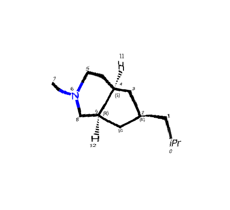 CC(C)C[C@@H]1C[C@@H]2CN(C)C[C@@H]2C1